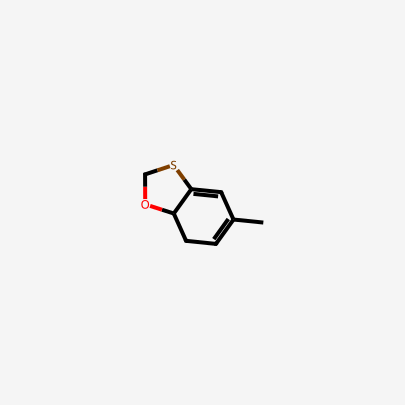 CC1=CCC2OCSC2=C1